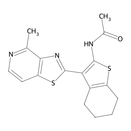 CC(=O)Nc1sc2c(c1-c1nc3c(C)nccc3s1)CCCC2